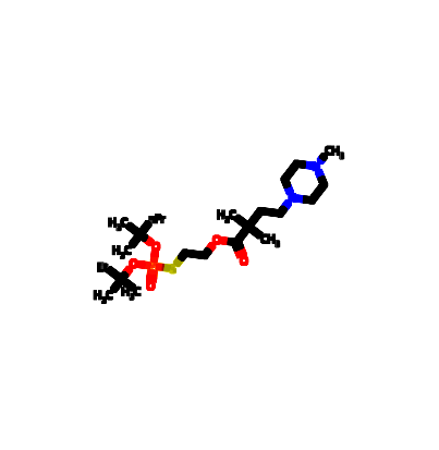 CCCC(C)(C)OP(=O)(OC(C)(C)CC)SCCOC(=O)C(C)(C)CCN1CCN(C)CC1